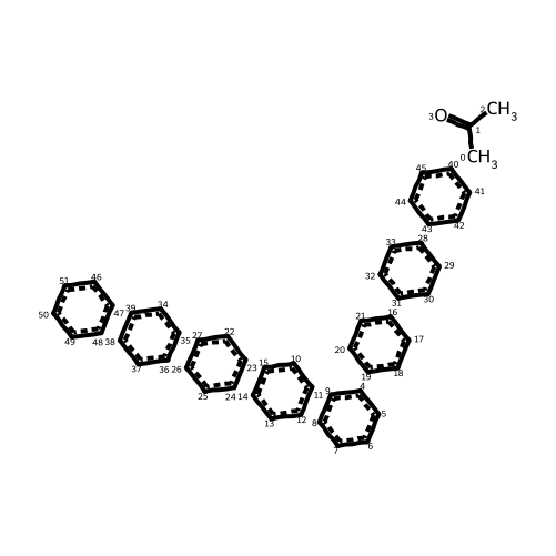 CC(C)=O.c1ccccc1.c1ccccc1.c1ccccc1.c1ccccc1.c1ccccc1.c1ccccc1.c1ccccc1.c1ccccc1